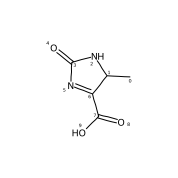 CC1NC(=O)N=C1C(=O)O